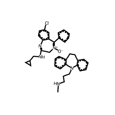 CNCCCN1c2ccccc2CCc2ccccc21.[O-][N+]1=C(c2ccccc2)c2cc(Cl)ccc2N=C(NCC2CC2)C1